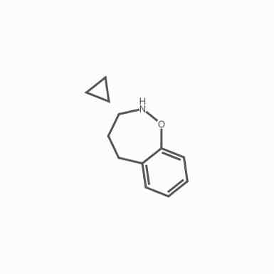 C1CC1.c1ccc2c(c1)CCCNO2